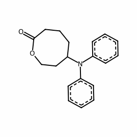 O=C1CCCC(N(c2ccccc2)c2ccccc2)CCO1